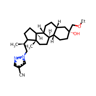 CCOC[C@@]1(O)CC[C@H]2[C@H](CC[C@@H]3[C@@H]2CC[C@]2(C)C([C@H](C)Cn4cc(C#N)cn4)CC[C@@H]32)C1